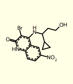 O=c1[nH]c2ccc([N+](=O)[O-])cc2c(NC(CCO)C2CC2)c1Br